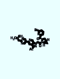 CC(=O)c1nn(CC(=O)N2[C@@H]3C[C@@H]3C[C@H]2C(=O)c2cccc(Br)n2)c2cnc(-c3cnc(CN(C)C)nc3)cc12